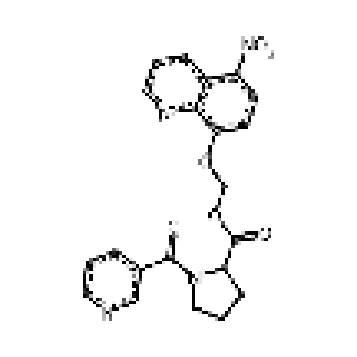 O=C(OCOc1ccc([N+](=O)[O-])c2cccnc12)C1CCCN1C(=O)c1cccnc1